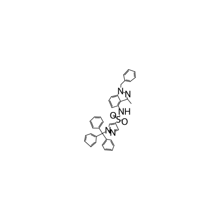 Cc1nn(Cc2ccccc2)c2cccc(NS(=O)(=O)c3cnn(C(c4ccccc4)(c4ccccc4)c4ccccc4)c3)c12